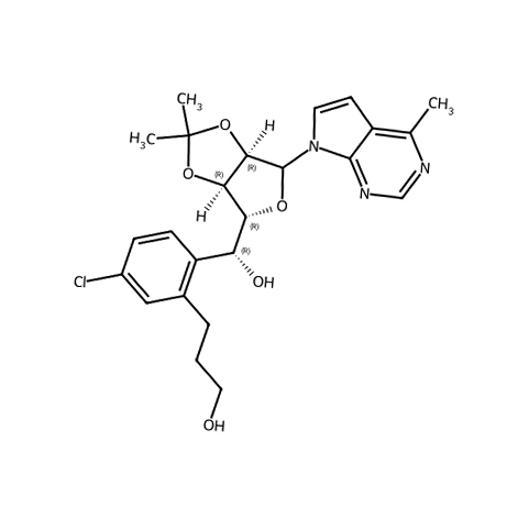 Cc1ncnc2c1ccn2C1O[C@H]([C@H](O)c2ccc(Cl)cc2CCCO)[C@H]2OC(C)(C)O[C@@H]12